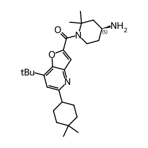 CC1(C)CCC(c2cc(C(C)(C)C)c3oc(C(=O)N4CC[C@H](N)CC4(C)C)cc3n2)CC1